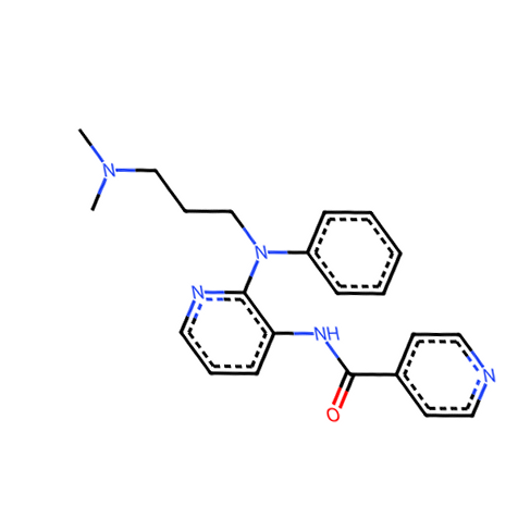 CN(C)CCCN(c1ccccc1)c1ncccc1NC(=O)c1ccncc1